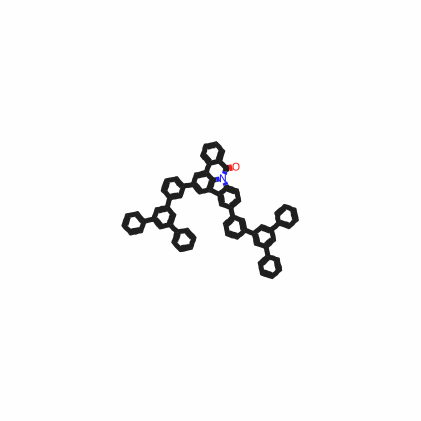 O=c1c2ccccc2c2cc(-c3cccc(-c4cc(-c5ccccc5)cc(-c5ccccc5)c4)c3)cc3c4cc(-c5cccc(-c6cc(-c7ccccc7)cc(-c7ccccc7)c6)c5)ccc4n1c23